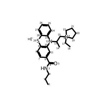 CCCNC(=O)c1ccc2c(c1)N(C(C)C[N+]1(CC)CCCC1)c1ccccc1S2.[I-]